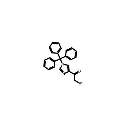 CC(C)CC(=O)c1cn(C(c2ccccc2)(c2ccccc2)c2ccccc2)cn1